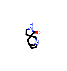 O=C1NCCC12CC1CCN(C1)C2